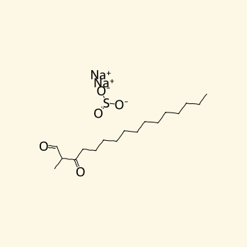 CCCCCCCCCCCCCC(=O)C(C)C=O.O=S([O-])[O-].[Na+].[Na+]